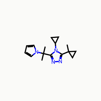 CC1(c2nnc(C(C)(C)n3cccc3)n2C2CC2)CC1